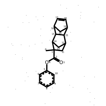 CC1(C(=O)Oc2ccccc2)CC2CC1C1C3C=CC(C3)C21